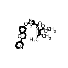 CC[C@H](C)[C@H](NC(=O)c1cnc(Oc2ccc3c(c2)CCC(c2cccnc2)O3)s1)C(=O)OC